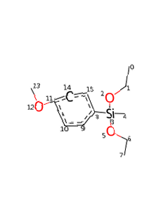 CCO[Si](C)(OCC)c1ccc(OC)cc1